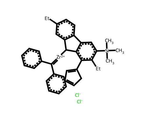 CCc1ccc2c(c1)[CH]([Zr+2]=[C](c1ccccc1)c1ccccc1)c1c-2cc([Si](C)(C)C)c(CC)c1C1=CC=CC1.[Cl-].[Cl-]